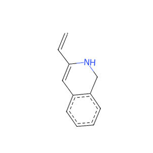 [CH]=CC1=Cc2ccccc2CN1